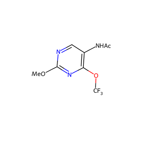 COc1ncc(NC(C)=O)c(OC(F)(F)F)n1